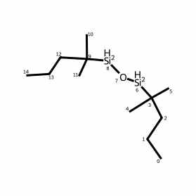 CCCC(C)(C)[SiH2]O[SiH2]C(C)(C)CCC